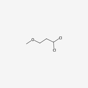 COCC[C](Cl)Cl